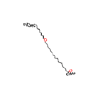 CCCCCCCCCCCCCC/C=C/C=C/OCCCCCCCCCCCCCCCC(=O)OC